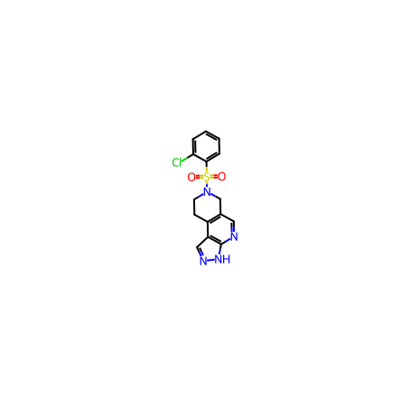 O=S(=O)(c1ccccc1Cl)N1CCc2c(cnc3[nH]ncc23)C1